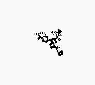 CN(C)C(=O)N1CCN(c2cc(S(=O)(=O)NC3(C)CC3)cn3c(C(=O)OC4CCC4)cnc23)CC1